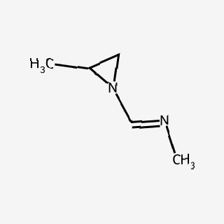 C/N=C/N1CC1C